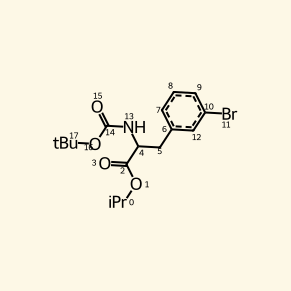 CC(C)OC(=O)C(Cc1cccc(Br)c1)NC(=O)OC(C)(C)C